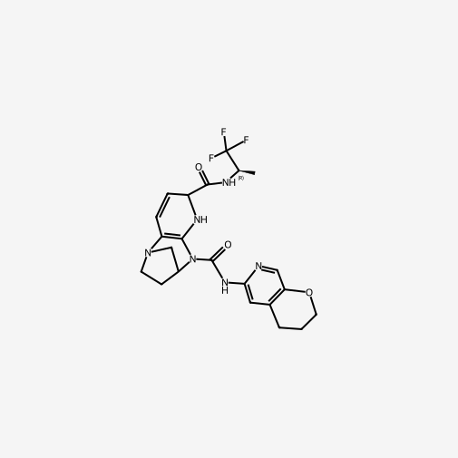 C[C@@H](NC(=O)C1C=CC2=C(N1)N(C(=O)Nc1cc3c(cn1)OCCC3)C1CCN2C1)C(F)(F)F